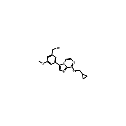 COc1cc(CO)cc(-c2cnc3c(NCC4CC4)nccn23)c1